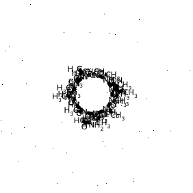 C/C=C/C[C@@H](C)[C@@H](O)[C@H]1C(=O)N[C@@H](CC)C(=O)N(C)CC(=O)N(C)[C@@H](CC(C)C)C(=O)N[C@@H](C(C)C)C(=O)N(C)[C@@H](CC(C)C)C(=O)N[C@@H](C)C(=O)N[C@H](C)C(=O)N(C)[C@@H](CC(C)C)C(=O)N(C)[C@@H](CC(C)C)C(=O)N(C)[C@@H](C(C)C)C(=O)N1C.NCC(=O)O